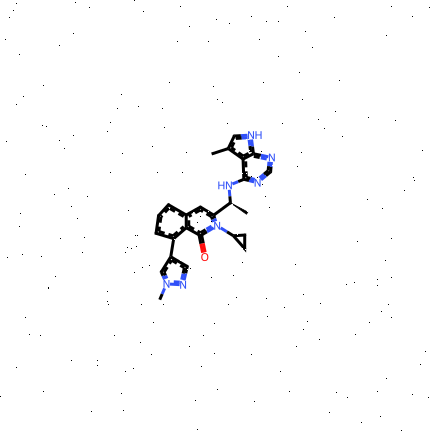 Cc1c[nH]c2ncnc(N[C@@H](C)c3cc4cccc(-c5cnn(C)c5)c4c(=O)n3C3CC3)c12